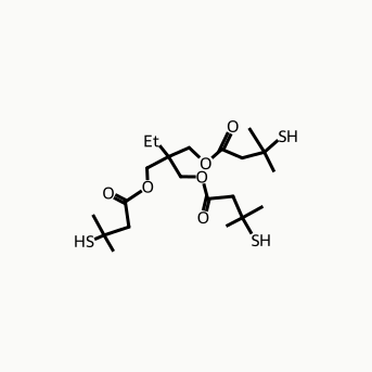 CCC(COC(=O)CC(C)(C)S)(COC(=O)CC(C)(C)S)COC(=O)CC(C)(C)S